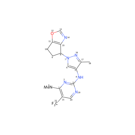 CNc1nc(Nc2cn(C3CCc4ocnc43)nc2C)ncc1C(F)(F)F